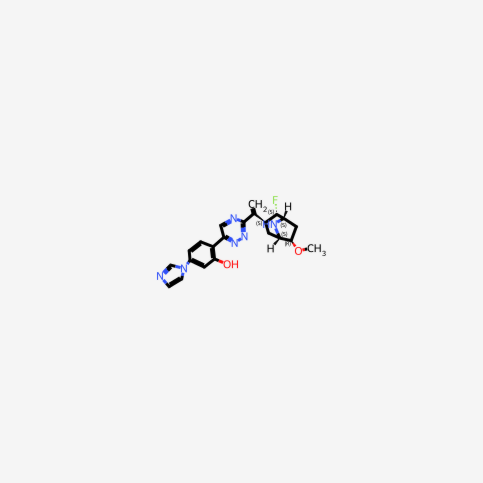 C=C(c1ncc(-c2ccc(-n3ccnc3)cc2O)nn1)[C@@H]1C[C@@H]2N[C@@H](C[C@H]2OC)[C@H]1F